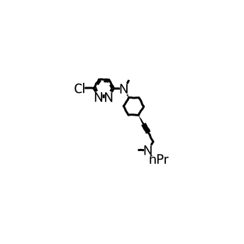 CCCN(C)CC#C[C@H]1CC[C@H](N(C)c2ccc(Cl)nn2)CC1